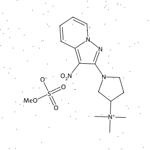 COS(=O)(=O)[O-].C[N+](C)(C)C1CCN(c2nn3ccccc3c2[N+](=O)[O-])C1